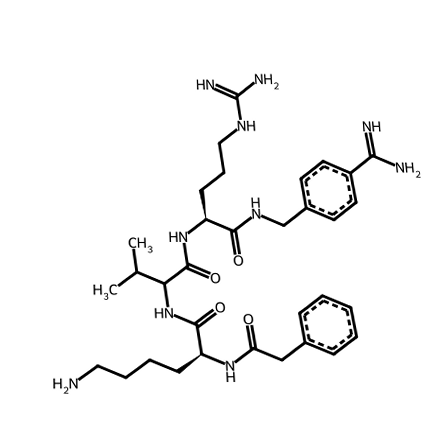 CC(C)C(NC(=O)[C@H](CCCCN)NC(=O)Cc1ccccc1)C(=O)N[C@@H](CCCNC(=N)N)C(=O)NCc1ccc(C(=N)N)cc1